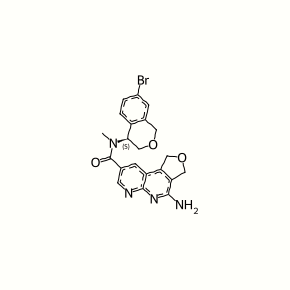 CN(C(=O)c1cnc2nc(N)c3c(c2c1)COC3)[C@@H]1COCc2cc(Br)ccc21